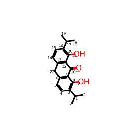 CC(C)c1ccc2c(c1O)C(=O)c1c(ccc(C(C)C)c1O)C2